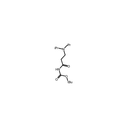 CC(C)N(CCC(=O)NC(=O)OC(C)(C)C)C(C)C